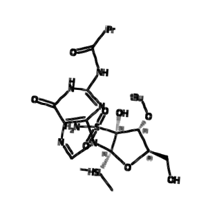 CC(C)C(=O)Nc1nc2c(ncn2[C@]2([SiH](C)C)O[C@H](CO)[C@@H](OC(C)(C)C)[C@]2(O)S(N)(=O)=O)c(=O)[nH]1